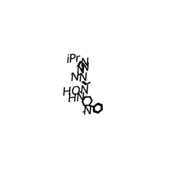 C=N/C(=N\C=C(/C)N1C[C@]2(CC[C@](c3ccccc3)(N(C)C)CC2)NC1O)n1cc(C(C)C)nn1